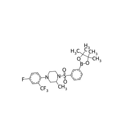 CC1CN(c2ccc(F)cc2C(F)(F)F)CCN1S(=O)(=O)c1cccc(B2OC(C)(C)C(C)(C)O2)c1